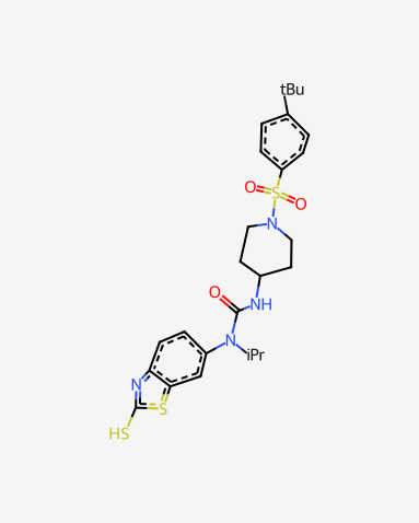 CC(C)N(C(=O)NC1CCN(S(=O)(=O)c2ccc(C(C)(C)C)cc2)CC1)c1ccc2nc(S)sc2c1